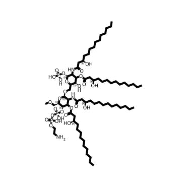 CCCCCCCCCCC[C@@H](O)CC(=O)NC1C(OC(=O)C[C@H](O)CCCCCCCCCCC)[C@H](O)C(CO[C@@H]2O[C@H](COC)[C@@H](OP(=O)(O)OP(=O)(O)OCCN)C(OC(=O)C[C@H](O)CCCCCCCCCCC)C2NC(=O)C[C@H](O)CCCCCCCCCCC)O[C@@H]1OP(=O)(O)O